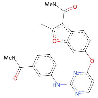 CNC(=O)c1cccc(Nc2nccc(Oc3ccc4c(C(=O)NC)c(C)oc4c3)n2)c1